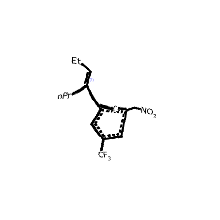 CC/C=C(\CCC)c1cc([N+](=O)[O-])cc(C(F)(F)F)c1